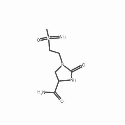 CS(=N)(=O)CCN1CC(C(N)=O)NC1=O